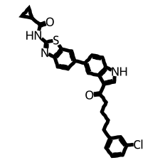 O=C(CCCCc1cccc(Cl)c1)c1c[nH]c2ccc(-c3ccc4nc(NC(=O)C5CC5)sc4c3)cc12